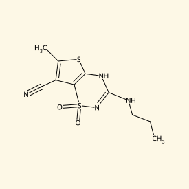 CCCNC1=NS(=O)(=O)c2c(sc(C)c2C#N)N1